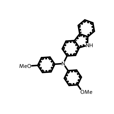 COc1ccc(N(c2ccc(OC)cc2)c2ccc3c(c2)[nH]c2ccccc23)cc1